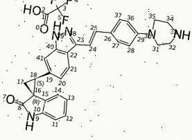 O=C(O)C(F)(F)F.O=C1Nc2ccccc2[C@]12C[C@H]2c1ccc2c(C=Cc3ccc(N4CCNCC4)cc3)n[nH]c2c1